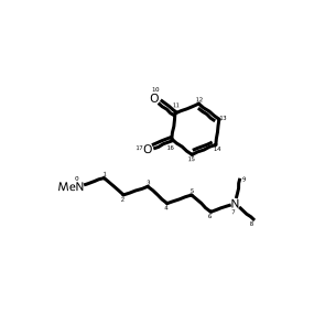 CNCCCCCCN(C)C.O=C1C=CC=CC1=O